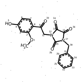 COc1cc(O)ccc1C(=O)CN1C(=O)C(=O)N(Cc2ccccc2)C1=O